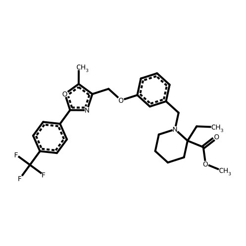 CCC1(C(=O)OC)CCCCN1Cc1cccc(OCc2nc(-c3ccc(C(F)(F)F)cc3)oc2C)c1